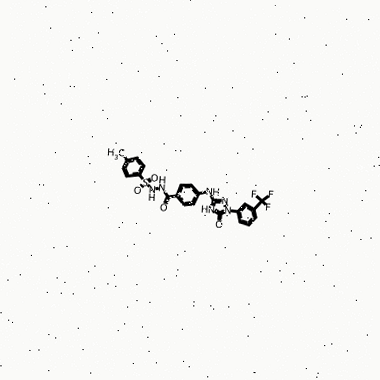 Cc1ccc(S(=O)(=O)NNC(=O)c2ccc(Nc3nn(-c4cccc(C(F)(F)F)c4)c(=O)[nH]3)cc2)cc1